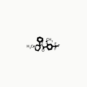 CSc1cc(C(F)(F)F)ccc1C(=O)NC1(c2ccccc2)CCCN(C)C1